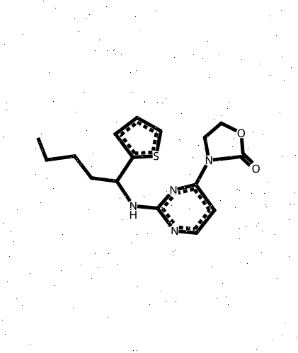 CCCCC(Nc1nccc(N2CCOC2=O)n1)c1cccs1